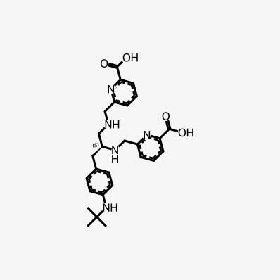 CC(C)(C)Nc1ccc(C[C@@H](CNCc2cccc(C(=O)O)n2)NCc2cccc(C(=O)O)n2)cc1